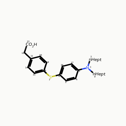 CCCCCCCN(CCCCCCC)c1ccc(Sc2ccc(CC(=O)O)cc2)cc1